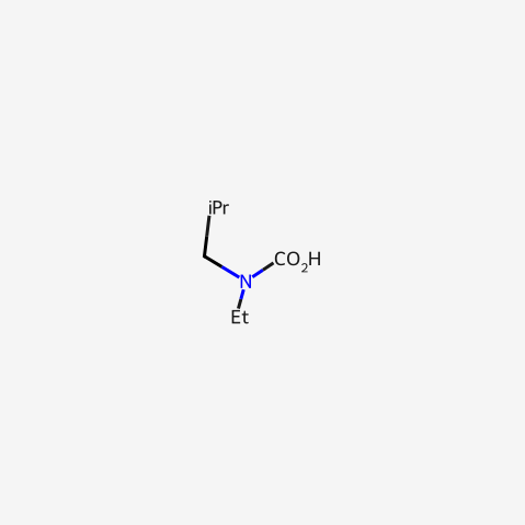 CCN(CC(C)C)C(=O)O